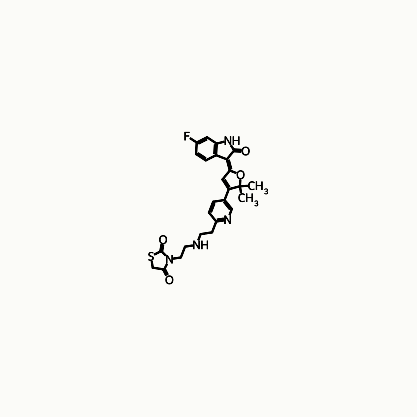 CC1(C)OC(=C2C(=O)Nc3cc(F)ccc32)C=C1c1ccc(CCNCCN2C(=O)CSC2=O)nc1